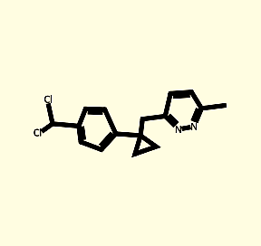 Cc1ccc(CC2(c3ccc(C(Cl)Cl)cc3)CC2)nn1